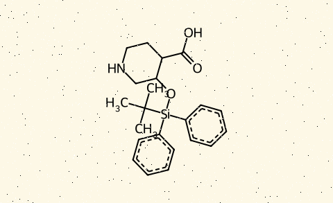 CC(C)(C)[Si](OC1CNCCC1C(=O)O)(c1ccccc1)c1ccccc1